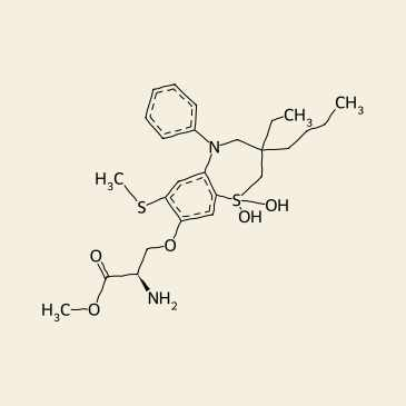 CCCCC1(CC)CN(c2ccccc2)c2cc(SC)c(OC[C@@H](N)C(=O)OC)cc2S(O)(O)C1